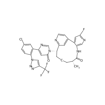 C[C@@H]1CCC[C@H](n2cnc(-c3cc(Cl)ccc3-n3cc(C(F)(F)F)nn3)cc2=O)c2cc(ccn2)-c2cc(F)ncc2NC1=O